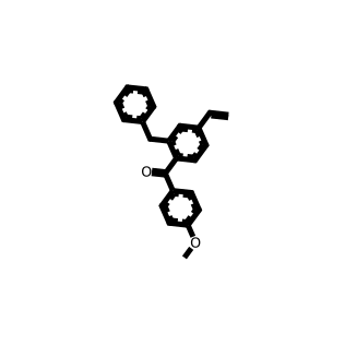 C=Cc1ccc(C(=O)c2ccc(OC)cc2)c(Cc2ccccc2)c1